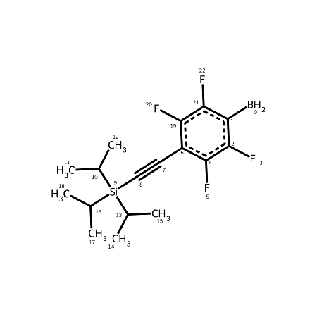 Bc1c(F)c(F)c(C#C[Si](C(C)C)(C(C)C)C(C)C)c(F)c1F